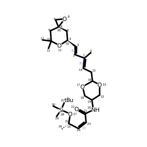 CC(/C=C/[C@@H]1C[C@]2(CO2)CC(C)(C)O1)=C\CC1OCC(NC(=O)/C=C\[C@H](C)O[Si](C)(C)C(C)(C)C)CO1